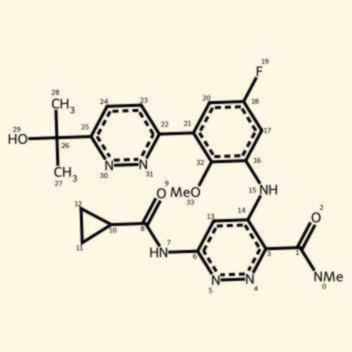 CNC(=O)c1nnc(NC(=O)C2CC2)cc1Nc1cc(F)cc(-c2ccc(C(C)(C)O)nn2)c1OC